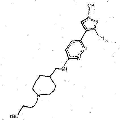 Cc1nn(C)cc1-c1ccc(NCC2CCN(CCC(C)(C)C)CC2)nn1